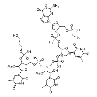 CCC(C)OP(=O)(S)OCC1O[C@@H](n2cnc3c(=O)[nH]c(N)nc32)C[C@H]1OP(=O)(S)OCC1O[C@@H](n2cc(C)c(=O)[nH]c2=O)C[C@H]1OP(=O)(S)OC[C@](C)(OP(=O)(S)OCC1OC(n2cc(C)c(=O)[nH]c2=O)C(OC)C1OP(=O)(S)OCCCO)C(OC)C(O)n1cc(C)c(=O)[nH]c1=O